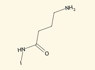 NCCCC(=O)NI